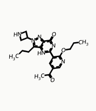 CCCOc1ncc(C(C)=O)cc1-c1nc(=O)c2nn(C3CNC3)c(CCC)c2[nH]1